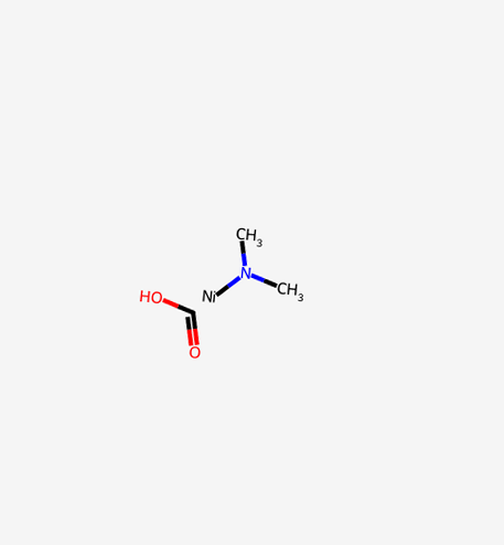 C[N](C)[Ni].O=CO